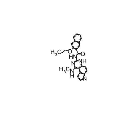 CCCOc1cc2ccccc2cc1C(=O)Nc1nc(NC)c2c(ccc3nccc32)[nH]1